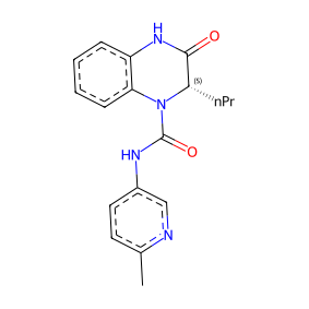 CCC[C@H]1C(=O)Nc2ccccc2N1C(=O)Nc1ccc(C)nc1